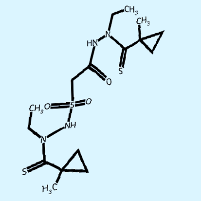 CCN(NC(=O)CS(=O)(=O)NN(CC)C(=S)C1(C)CC1)C(=S)C1(C)CC1